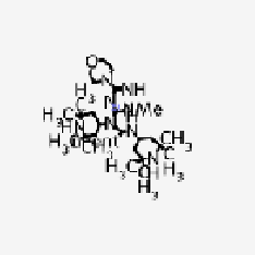 CCCCCC(NC1CC(C)(C)NC(C)(C)C1)N(/C(=N/C(=N)N1CCOCC1)NC)C1CC(C)(C)NC(C)(C)C1